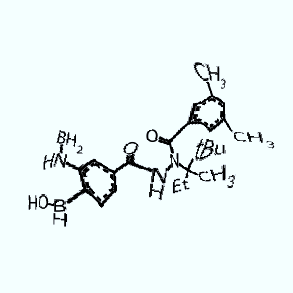 BNc1cc(C(=O)NN(C(=O)c2cc(C)cc(C)c2)[C@](C)(CC)C(C)(C)C)ccc1BO